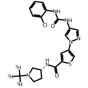 [2H]C([2H])([2H])N1CC[C@@H](NC(=O)c2cc(-n3cc(NC(=O)Nc4ccccc4Cl)cn3)cs2)C1